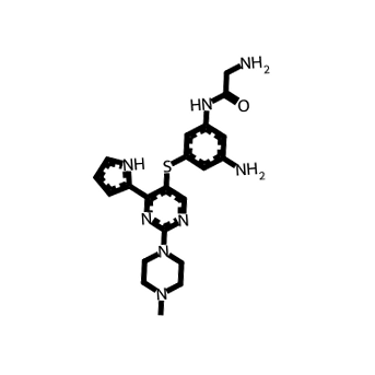 CN1CCN(c2ncc(Sc3cc(N)cc(NC(=O)CN)c3)c(-c3ccc[nH]3)n2)CC1